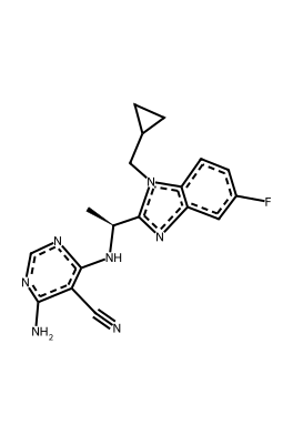 C[C@H](Nc1ncnc(N)c1C#N)c1nc2cc(F)ccc2n1CC1CC1